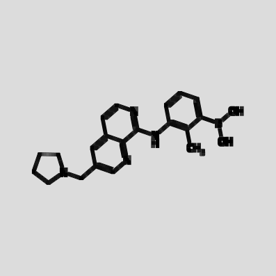 Cc1c(Nc2nccc3cc(CN4CCCC4)cnc23)cccc1B(O)O